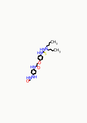 CCCCN(CCCC)NC(=S)Nc1ccc(OCC(=O)Nc2ccc(NNC=O)cc2)cc1